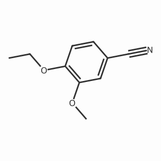 CCOc1ccc(C#N)cc1OC